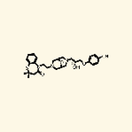 CC1(C)CC(=O)N(CCN2CC3CN(C[C@@H](O)COc4ccc(C#N)cc4)CC(C2)O3)c2ccccc2S1